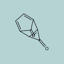 O=C1C2=CC=C1c1c2c1=O